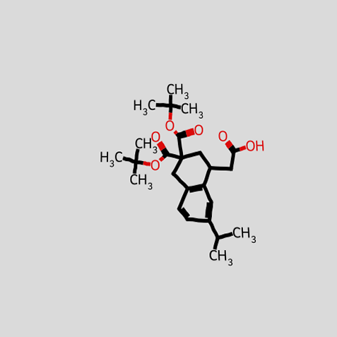 CC(C)c1ccc2c(c1)C(CC(=O)O)CC(C(=O)OC(C)(C)C)(C(=O)OC(C)(C)C)C2